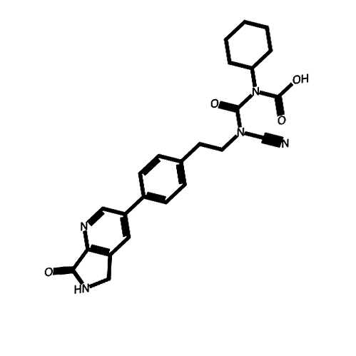 N#CN(CCc1ccc(-c2cnc3c(c2)CNC3=O)cc1)C(=O)N(C(=O)O)C1CCCCC1